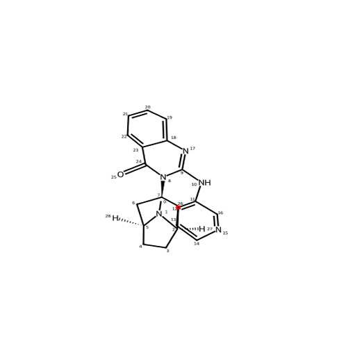 CN1[C@@H]2CC[C@H]1C[C@@H](n1c(Nc3cccnc3)nc3ccccc3c1=O)C2